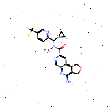 CN(C(=O)c1cc2c3c(c(N)nc2cn1)COC3)[C@H](c1ccc(C(F)(F)F)cn1)C1CC1